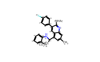 CC(=O)Nc1nc2cc(C)cc(C(C)Nc3ccccc3C(=O)O)c2cc1-c1ccc(F)cc1